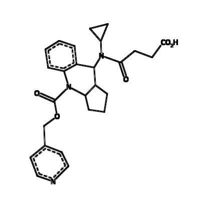 O=C(O)CCC(=O)N(C1CC1)C1c2ccccc2N(C(=O)OCc2ccncc2)C2CCCC21